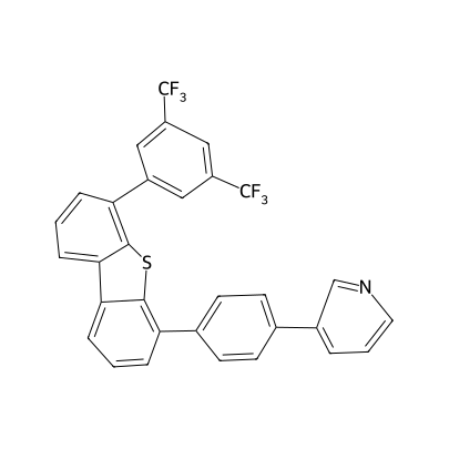 FC(F)(F)c1cc(-c2cccc3c2sc2c(-c4ccc(-c5cccnc5)cc4)cccc23)cc(C(F)(F)F)c1